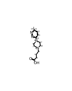 O=C(O)CCCN1CCN(c2ccc(I)nn2)CC1